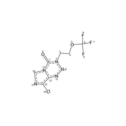 O=c1n(CCOC(F)(F)F)nnc2c(Cl)ncn12